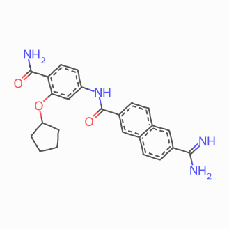 N=C(N)c1ccc2cc(C(=O)Nc3ccc(C(N)=O)c(OC4CCCC4)c3)ccc2c1